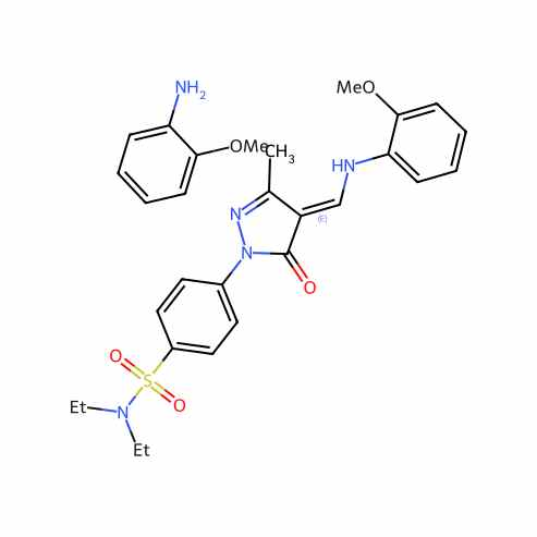 CCN(CC)S(=O)(=O)c1ccc(N2N=C(C)/C(=C\Nc3ccccc3OC)C2=O)cc1.COc1ccccc1N